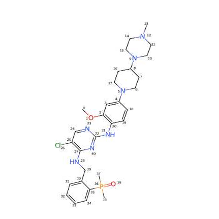 COc1cc(N2CCC(N3CCN(C)CC3)CC2)ccc1Nc1ncc(Cl)c(NCc2ccccc2P(C)(C)=O)n1